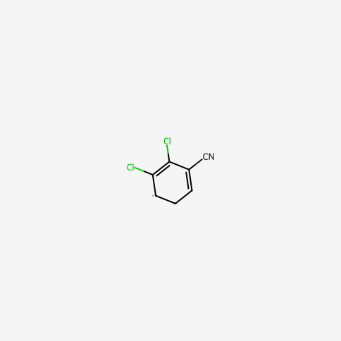 N#CC1=CC[CH]C(Cl)=C1Cl